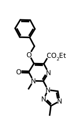 CCOC(=O)c1nc(-n2cnc(C)n2)n(C)c(=O)c1OCc1ccccc1